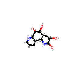 O=c1cc2c(=O)c(=O)c3ncccc3c-2nc1=O